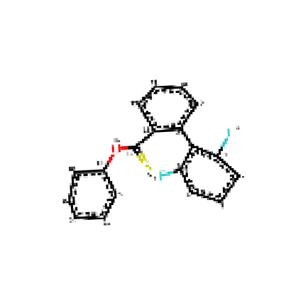 Fc1cccc(F)c1-c1ccccc1C(=S)Oc1ccccc1